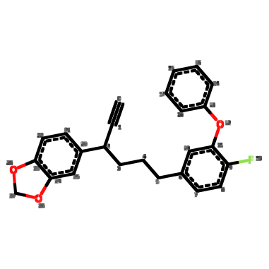 C#CC(CCCc1ccc(F)c(Oc2ccccc2)c1)c1ccc2c(c1)OCO2